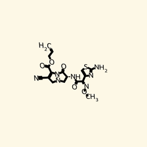 C=CCOC(=O)C1=C(C#N)CN2C[C@@H](NC(=O)/C(=N\OC)c3csc(N)n3)C(=O)N12